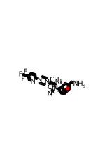 CC(C)(C(=N)N(C#N)C1C2CC3CC1CC(CN)(C3)C2)N1CCN(c2ccc(C(F)(F)F)cn2)CC1